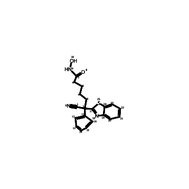 N#CC(CCCCC(=O)NO)(c1ccccc1)c1nc2ccccc2s1